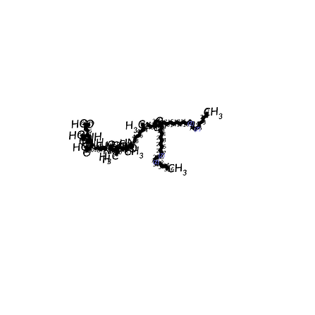 CCCCC/C=C\C/C=C\CCCCCCCCC1(CCCCCCCC/C=C\C/C=C\CCCCC)OCC(CCN(C)CCCCCNC(=O)C(C)(CC)COC(C)(CC)CC(=O)NCCCC[C@@H](NC(=O)N[C@H](CCC(=O)O)C(=O)O)C(=O)O)O1